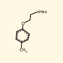 CCCCCCCCOc1[c]cc(C)cc1